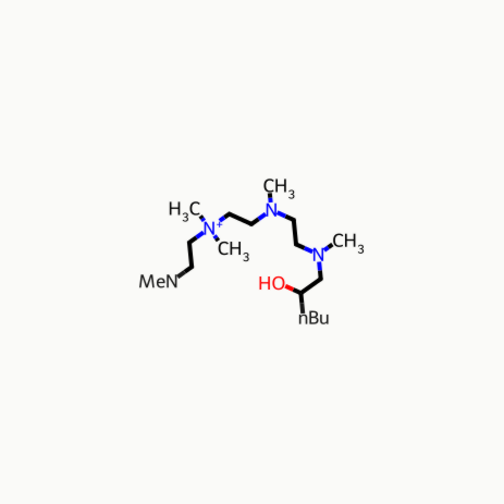 CCCCC(O)CN(C)CCN(C)CC[N+](C)(C)CCNC